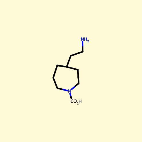 NCCC1CCCN(C(=O)O)CC1